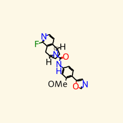 COc1cc(NC(=O)N2[C@@H]3CC[C@H]2c2ccnc(F)c2C3)ccc1-c1cnco1